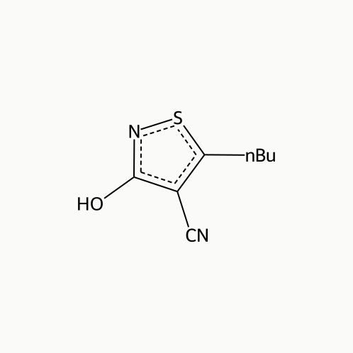 CCCCc1snc(O)c1C#N